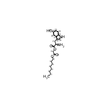 CCCCCCCCOC(=O)COC(=O)C(N)Cc1c[nH]c2ccc(O)cc12